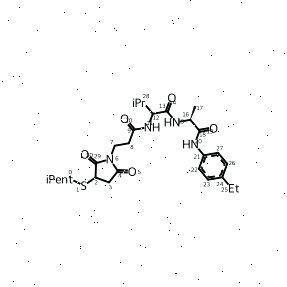 CCCC(C)SC1CC(=O)N(CCC(=O)NC(C(=O)N[C@@H](C)C(=O)Nc2ccc(CC)cc2)C(C)C)C1=O